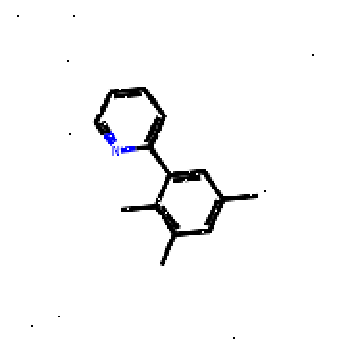 Cc1cc(C)c(C)c(-c2ccccn2)c1